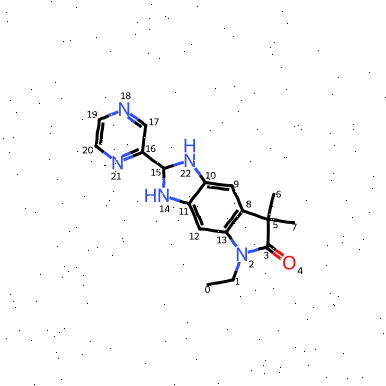 CCN1C(=O)C(C)(C)c2cc3c(cc21)NC(c1cnccn1)N3